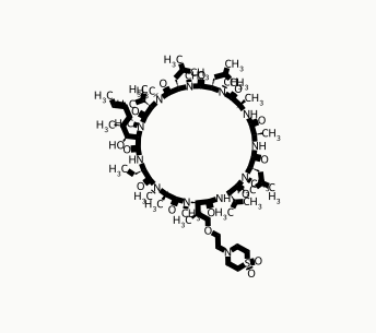 C/C=C/C[C@@H](C)[C@@H](O)C1C(=O)N[C@@H](CC)C(=O)N(C)[C@H](C)C(=O)N(C)[C@@H]([C@H](C)COCCN2CCS(=O)(=O)CC2)C(=O)N[C@@H](C(C)C)C(=O)N(C)[C@@H](CC(C)C)C(=O)N[C@@H](C)C(=O)N[C@H](C)C(=O)N(C)[C@@H](CC(C)C)C(=O)N(C)[C@@H](CC(C)C)C(=O)N(C)[C@@H](C(C)C)C(=O)N1C